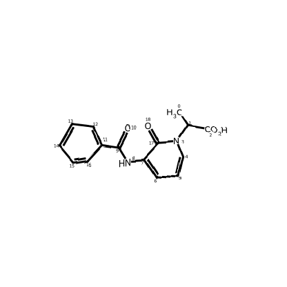 CC(C(=O)O)n1cccc(NC(=O)c2ccccc2)c1=O